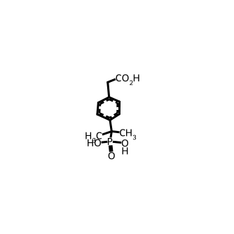 CC(C)(c1ccc(CC(=O)O)cc1)P(=O)(O)O